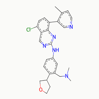 Cc1ccncc1-c1ccc(Cl)c2cnc(Nc3ccc(C4CCOC4)c(CN(C)C)c3)nc12